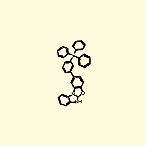 c1ccc([Si](c2ccccc2)(c2ccccc2)c2cccc(-c3ccc4c(c3)N3c5ccccc5NC3O4)c2)cc1